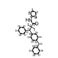 CC(C)(C(=O)Nc1nccs1)C(c1ccccc1)c1ccc(Cc2ccccc2)cc1